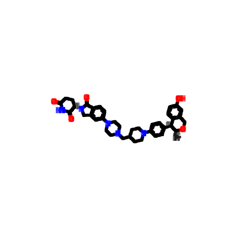 CC(C)[C@@H]1OCc2cc(O)ccc2[C@@H]1c1ccc(N2CCC(CN3CCN(c4ccc5c(c4)CN([C@H]4CCC(=O)NC4=O)C5=O)CC3)CC2)cc1